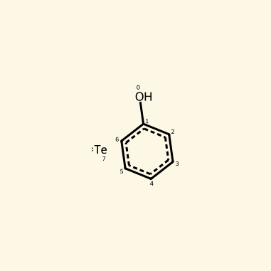 Oc1ccccc1.[Te]